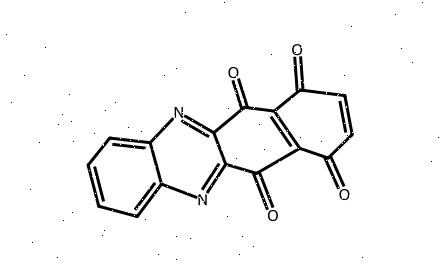 O=c1ccc(=O)c2c(=O)c3nc4ccccc4nc3c(=O)c1=2